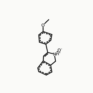 COc1ccc(C2=Cc3ccccc3C[NH+]2[O-])cc1